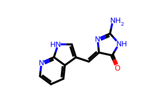 NC1=NC(=Cc2c[nH]c3ncccc23)C(=O)N1